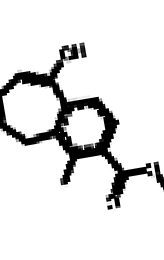 COC(=O)c1ccc2c(c1C)CCCC=C2O